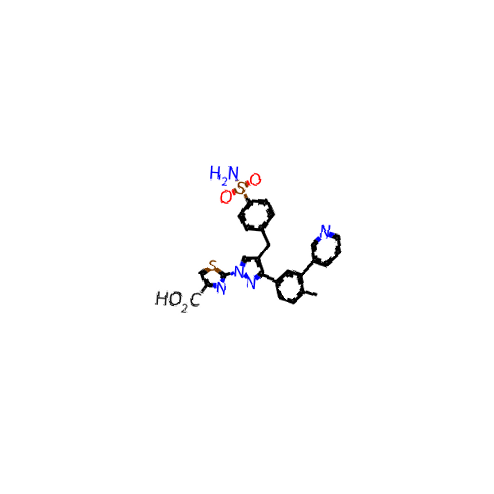 Cc1ccc(-c2nn(-c3nc(C(=O)O)cs3)cc2Cc2ccc(S(N)(=O)=O)cc2)cc1-c1cccnc1